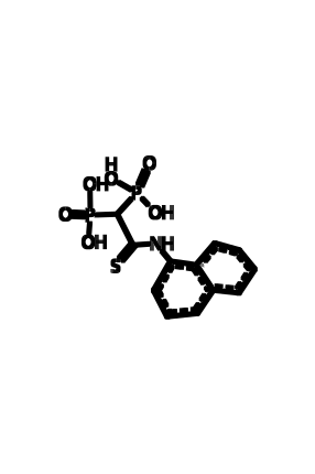 O=P(O)(O)C(C(=S)Nc1cccc2ccccc12)P(=O)(O)O